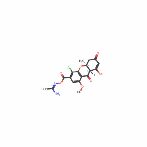 COc1cc(C(=O)O/N=C(/C)N)c(Cl)c2c1C(=O)[C@H]1C(O)=CC(=O)C[C@]1(C)O2